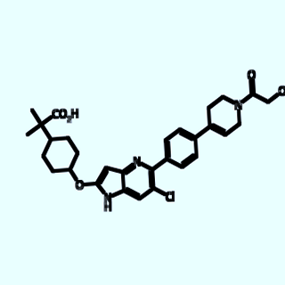 CC(C)(C(=O)O)C1CCC(Oc2cc3nc(-c4ccc(C5=CCN(C(=O)CO)CC5)cc4)c(Cl)cc3[nH]2)CC1